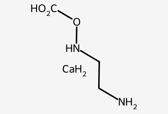 NCCNOC(=O)O.[CaH2]